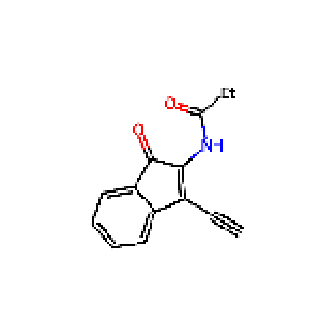 C#CC1=C(NC(=O)CC)C(=O)c2ccccc21